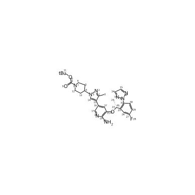 Cc1nn(C2CCN(C(=O)OC(C)(C)C)CC2)cc1-c1cnc(N)c(O[C@H](C)c2cc(F)ccc2-n2nccn2)c1